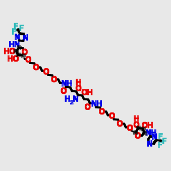 NC(C(O)CCC(=O)NCCOCCOCCOCCOC[C@H]1OC[C@H](Nc2cncc(C(F)(F)F)n2)[C@@H](O)[C@H]1O)C(O)CCC(=O)NCCOCCOCCOCCOC[C@H]1OC[C@H](Nc2cncc(C(F)(F)F)n2)[C@@H](O)[C@H]1O